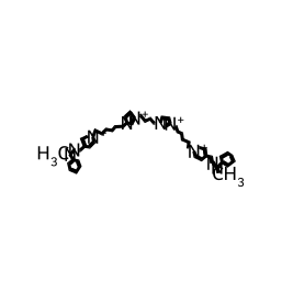 CN(N=Cc1cc[n+](CCCCCCn2cc[n+](CCCCn3cc[n+](CCCCCC[n+]4ccc(C=NN(C)c5ccccc5)cc4)c3)c2)cc1)c1ccccc1